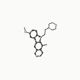 COc1ccc2c(c1)c1cc3cnccc3c(C)c1n2CCN1CCOCC1